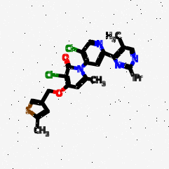 Cc1cc(COc2cc(C)n(-c3cc(-c4nc(C(C)C)ncc4C)ncc3Cl)c(=O)c2Cl)cs1